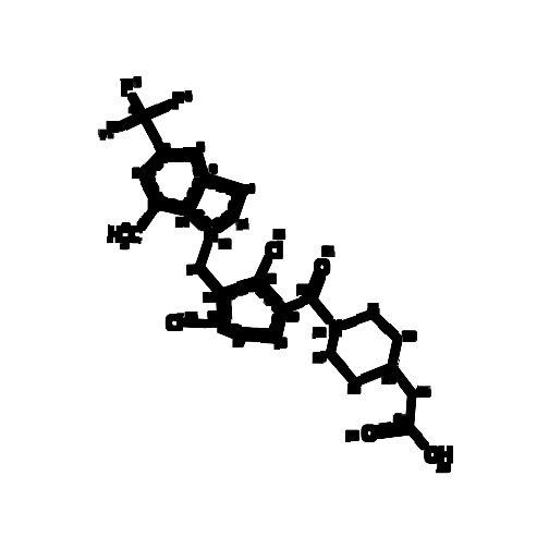 Cc1cc(C(F)(F)F)cc2ccn(Cc3c(Cl)ccc(C(=O)N4CCC(CC(=O)O)CC4)c3Cl)c12